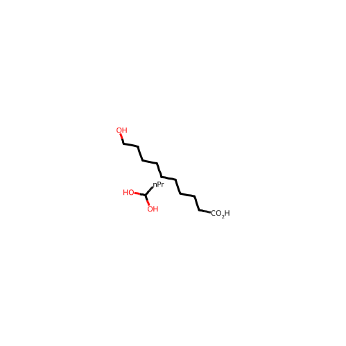 CCCC(O)O.O=C(O)CCCCCCCCCO